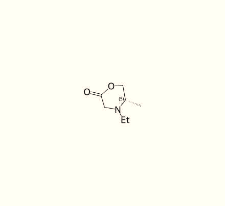 CCN1CC(=O)OC[C@@H]1C